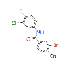 N#Cc1ccc(C(=O)Nc2ccc(F)c(Cl)c2)cc1Br